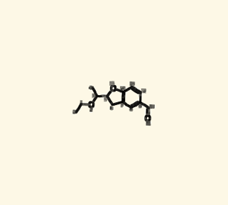 CCOC(C)C1Cc2cc(C=O)ccc2O1